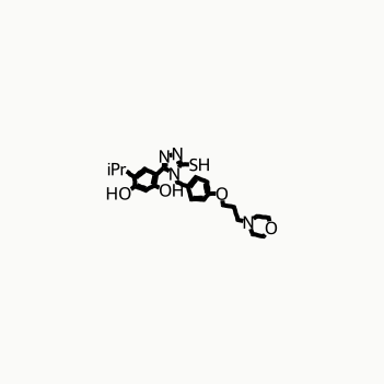 CC(C)c1cc(-c2nnc(S)n2Cc2ccc(OCCCN3CCOCC3)cc2)c(O)cc1O